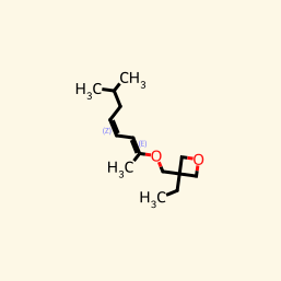 CCC1(CO/C(C)=C/C=C\CC(C)C)COC1